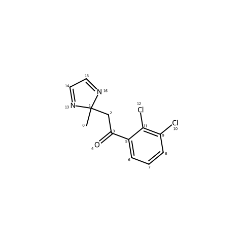 CC1(CC(=O)c2cccc(Cl)c2Cl)N=CC=N1